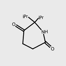 CC(C)C1(C(C)C)NC(=O)CCC1=O